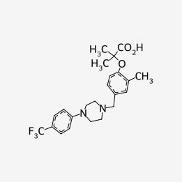 Cc1cc(CN2CCN(c3ccc(C(F)(F)F)cc3)CC2)ccc1OC(C)(C)C(=O)O